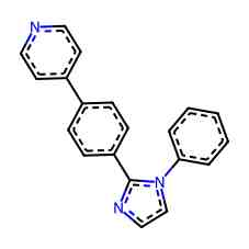 c1ccc(-n2ccnc2-c2ccc(-c3ccncc3)cc2)cc1